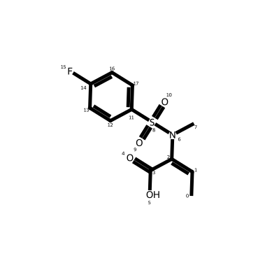 CC=C(C(=O)O)N(C)S(=O)(=O)c1ccc(F)cc1